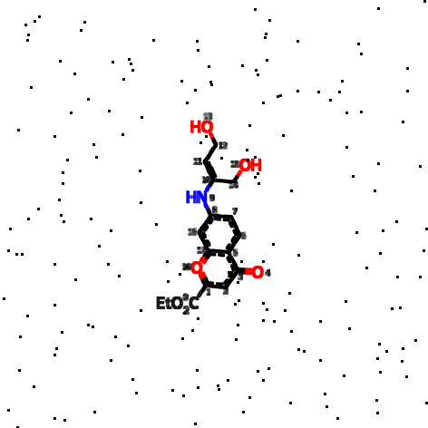 CCOC(=O)c1cc(=O)c2ccc(NC(=CCO)CO)cc2o1